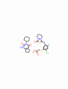 COC(=O)CSc1cc(/N=c2\sc(=O)n3n2CCCC3)c(F)cc1Cl.O=c1[nH]c2c(c(=O)n1C1CCCCC1)CCC2